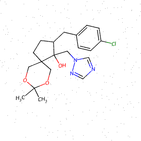 CC1(C)OCC2(CCC(Cc3ccc(Cl)cc3)C2(O)Cn2cncn2)CO1